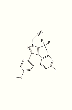 C#CCn1nc(-c2ccc(SC)cc2)c(-c2ccc(F)cc2)c1C(F)(F)F